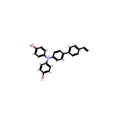 C=Cc1ccc(-c2ccc(N(c3ccc(Br)cc3)c3ccc(Br)cc3)cc2)cc1